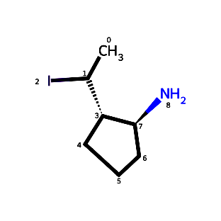 CC(I)[C@H]1CCC[C@@H]1N